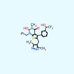 Cc1n[nH]c(C)c1Cc1sc2c(c1-c1cccc(C(O)C(F)(F)F)c1)C(=O)N(C)C(O)N2CC(C)C